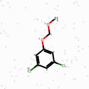 CCOCOc1cc(Cl)cc(Cl)c1